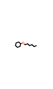 CCCCCCOC1[CH]CC[CH]C1